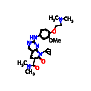 COc1cc(Nc2ncc3cc(C(=O)N(C)C)c(=O)n(C45CC(C4)C5)c3n2)ccc1OCCN(C)C